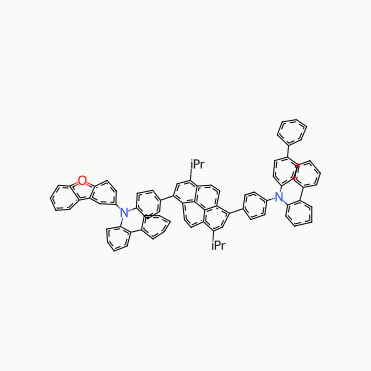 CC(C)c1cc(-c2ccc(N(c3ccc(-c4ccccc4)cc3)c3ccccc3-c3ccccc3)cc2)c2ccc3c(C(C)C)cc(-c4ccc(N(c5ccc6oc7ccccc7c6c5)c5ccccc5-c5ccccc5)cc4)c4ccc1c2c43